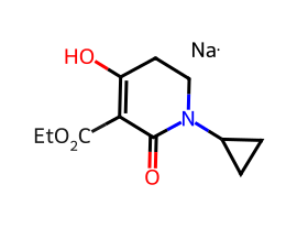 CCOC(=O)C1=C(O)CCN(C2CC2)C1=O.[Na]